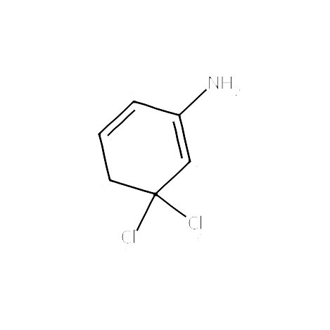 NC1=CC(Cl)(Cl)CC=C1